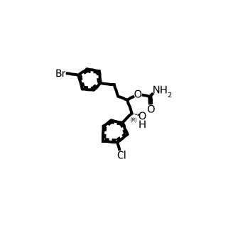 NC(=O)OC(CCc1ccc(Br)cc1)[C@H](O)c1cccc(Cl)c1